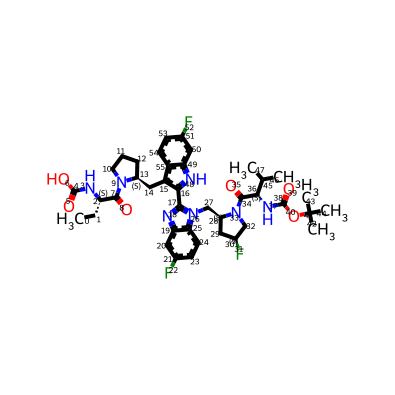 CC[C@H](NC(=O)O)C(=O)N1CCC[C@H]1Cc1c(-c2nc3cc(F)ccc3n2C[C@@H]2C[C@H](F)CN2C(=O)[C@@H](NC(=O)OC(C)(C)C)C(C)C)[nH]c2cc(F)ccc12